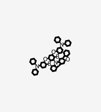 c1ccc(N(c2ccccc2)c2ccc3c(c2)Oc2cc4c5c6c2B3c2cccc3c7cc8oc9ccccc9c8c(c7n-6c23)B5c2ccc(N(c3ccccc3)c3ccccc3)cc2O4)cc1